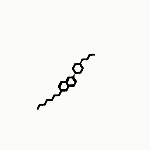 CCCCCCCc1ccc2cc([C@H]3CC[C@H](CCCC)CC3)ccc2c1